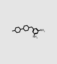 CC1CCC(C2CCC(Cc3cc(N)cc(N)c3)CC2)CC1